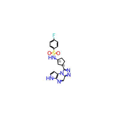 O=S(=O)(N[C@H]1CC[C@@H](c2nnc3cnc4[nH]ccc4n23)C1)c1ccc(F)cc1